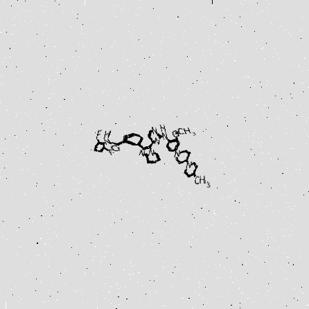 COc1cc(N2CCC(N3CCC(C)CC3)CC2)ccc1Nc1nccc(-c2c(-c3cccc(C(=O)Nc4c(F)cccc4F)c3)nc3ccccn23)n1